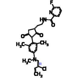 C=C/C(Cl)=C\N(C)c1cc(C)c(C2C(=O)CC(CCNC(=O)c3cccc(F)n3)C2=O)c(C)c1